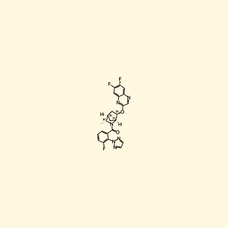 C[C@@H]1[C@H]2C[C@@H](Oc3cnc4cc(F)c(F)cc4n3)[C@H](C2)N1C(=O)c1cccc(F)c1-n1nccn1